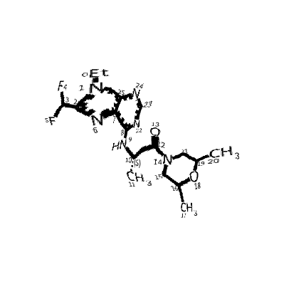 CCn1c(C(F)F)nc2c(N[C@@H](C)C(=O)N3CC(C)OC(C)C3)ncnc21